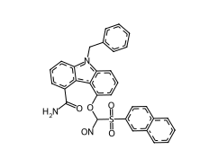 NC(=O)c1cccc2c1c1c(OC(N=O)S(=O)(=O)c3ccc4ccccc4c3)cccc1n2Cc1ccccc1